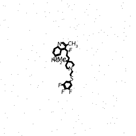 COc1ccc2ncc(C)c([C@H](F)CCC3(C(=O)O)CCN(CCSc4cc(F)c(F)c(F)c4)CC3)c2c1